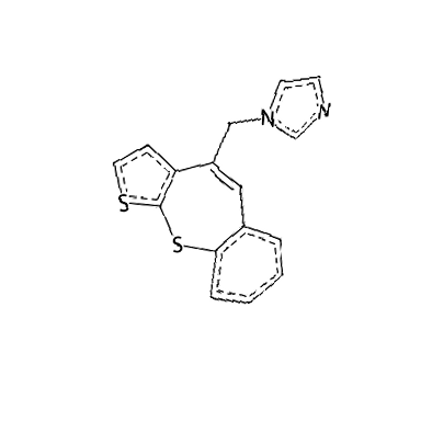 C1=C(Cn2ccnc2)c2ccsc2Sc2ccccc21